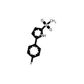 CS(=O)(=O)c1ccc(-c2ccc(F)cc2)[nH]1